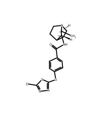 C[C@H]1[C@H](NC(=O)c2ccc(Oc3nnc(Cl)s3)cc2)C2CCN1CC2